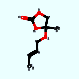 CCCC1(OCC=CC(F)(F)F)COC(=O)O1